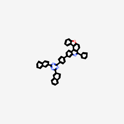 c1ccc(-c2nc3cc(-c4ccc(-c5nc(-c6ccc7ccccc7c6)nc(-c6ccc7ccccc7c6)n5)cc4)ccc3c3c2ccc2oc4ccccc4c23)cc1